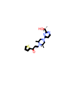 CC1CN(c2ccnc([C@@H](C)O)n2)C[C@@H](C)N1/C=C/C(=O)c1cccs1